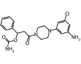 NC(=O)OC(CC(=O)N1CCN(c2cc(N)cc(Cl)c2)CC1)c1ccccc1